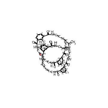 Cc1c2cccc1C(=O)NCCN1CCNC(=O)c3cccc(c3C)C(=O)NCCN(CCNC2=O)CCN2CCNC(=O)c3cccc(c3C)C(=O)NCCN(CCNC(=O)c3cccc(c3C)C(=O)NCC2)C(C)C1